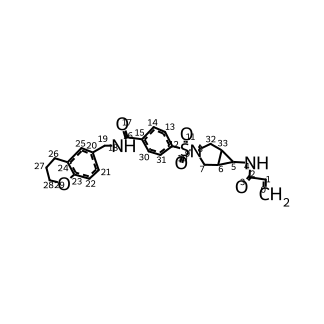 C=CC(=O)NC1C2CN(S(=O)(=O)c3ccc(C(=O)NCc4ccc5c(c4)CCCO5)cc3)CC21